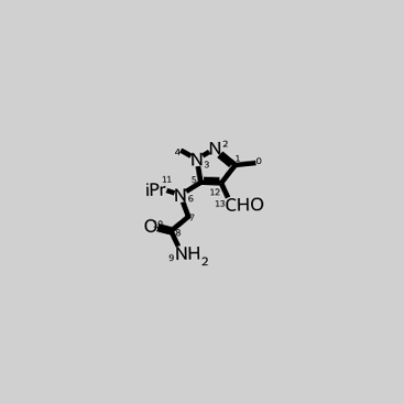 Cc1nn(C)c(N(CC(N)=O)C(C)C)c1C=O